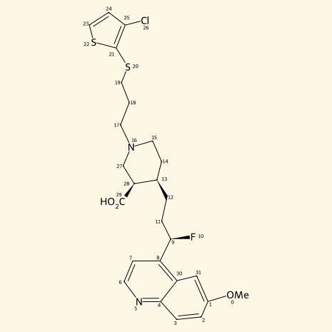 COc1ccc2nccc([C@H](F)CC[C@@H]3CCN(CCCSc4sccc4Cl)C[C@@H]3C(=O)O)c2c1